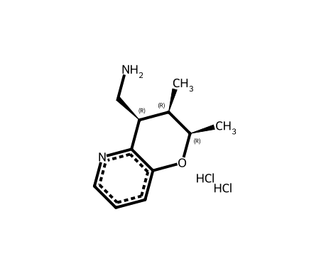 C[C@@H]1[C@H](CN)c2ncccc2O[C@@H]1C.Cl.Cl